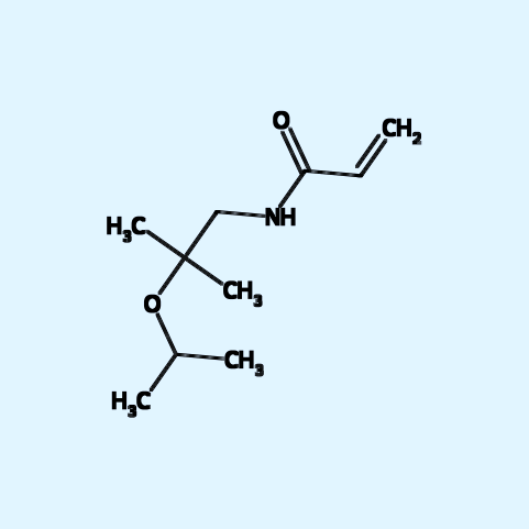 C=CC(=O)NCC(C)(C)OC(C)C